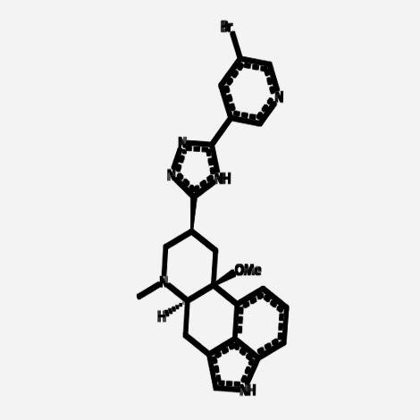 CO[C@]12C[C@H](c3nnc(-c4cncc(Br)c4)[nH]3)CN(C)[C@@H]1Cc1c[nH]c3cccc2c13